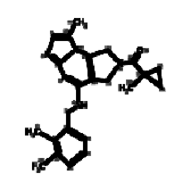 Cc1c(CNc2nc3ncc(C)n3c3c2CN(C(=O)C2(C)CC2)C3)cccc1C(F)(F)F